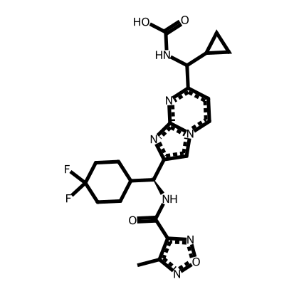 Cc1nonc1C(=O)N[C@H](c1cn2ccc(C(NC(=O)O)C3CC3)nc2n1)C1CCC(F)(F)CC1